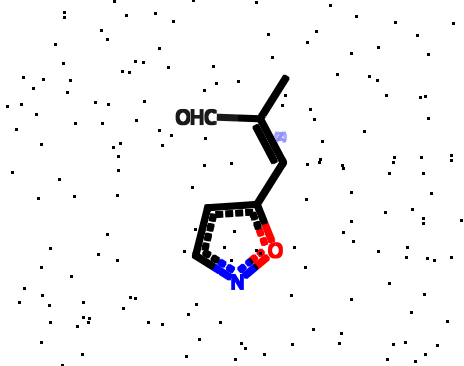 C/C(C=O)=C/c1ccno1